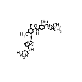 C=C/C(=C\N)Nc1cccn2c(C#Cc3cc(C(=O)Nc4ccc(CN5CCN(C)C(=C)C5)c(C(C)(C)C)c4)c(F)cc3C)cnc12